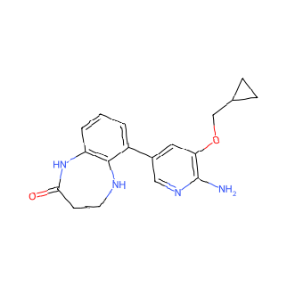 Nc1ncc(-c2cccc3c2NCCC(=O)N3)cc1OCC1CC1